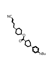 CCCCc1ccc([C@H]2CC[C@H](C(=O)O[C@H]3CC[C@H](CCC=CC#N)CC3)CC2)cc1